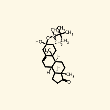 CC(C)(C)[Si](C)(C)O[C@]1(O)CC[C@@]2(C)C(=CC[C@@H]3[C@@H]2CC[C@]2(C)C(=O)CC[C@@H]32)C1